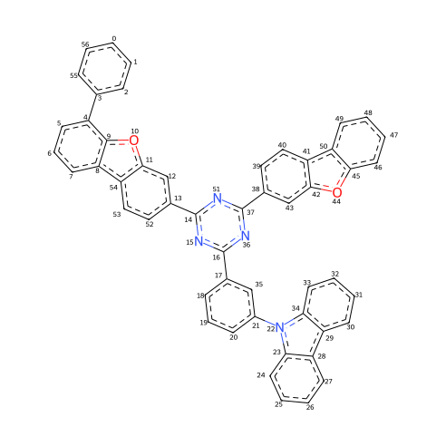 c1ccc(-c2cccc3c2oc2cc(-c4nc(-c5cccc(-n6c7ccccc7c7ccccc76)c5)nc(-c5ccc6c(c5)oc5ccccc56)n4)ccc23)cc1